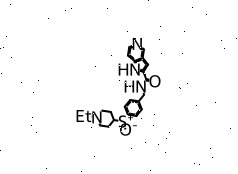 CCN1CCC([S+]([O-])c2ccc(CNC(=O)c3cc4cnccc4[nH]3)cc2)CC1